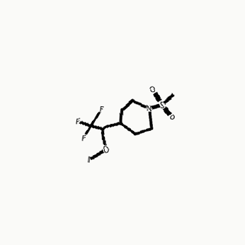 CS(=O)(=O)N1CCC(C(OI)C(F)(F)F)CC1